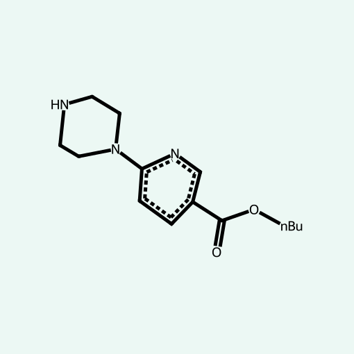 CCCCOC(=O)c1ccc(N2CCNCC2)nc1